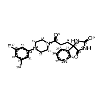 O=C1NC(=O)C(CCC(=O)N2CCN(c3cc(F)cc(F)c3)CC2)(c2cccnc2)N1